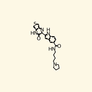 O=C(NCCCCN1CCCC1)c1ccc2[nH]c(-c3nc4cscc4[nH]c3=O)cc2c1